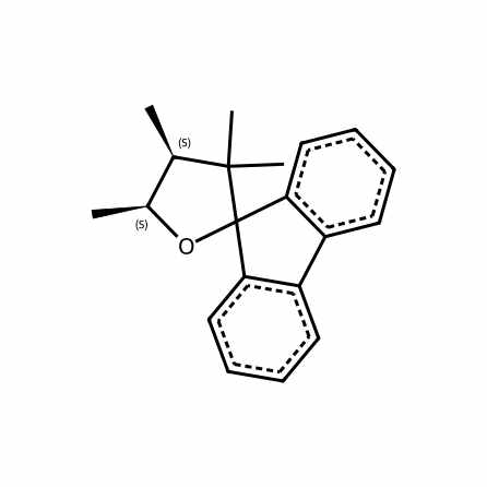 C[C@@H]1OC2(c3ccccc3-c3ccccc32)C(C)(C)[C@@H]1C